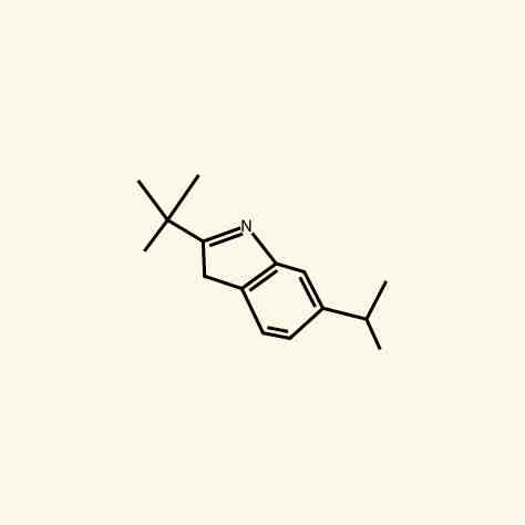 CC(C)c1ccc2c(c1)N=C(C(C)(C)C)C2